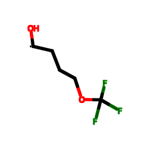 O[CH]CCCOC(F)(F)F